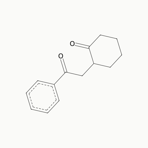 O=C(CC1CCCCC1=O)c1ccccc1